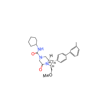 COC[C@@H]1[C@@H](c2ccc(-c3cccc(C)c3)cc2)[C@@H]2CN(C(=O)NC3CCCCC3)CC(=O)N12